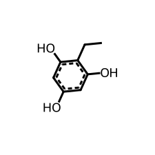 CCc1c(O)cc(O)cc1O